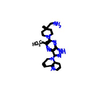 CC1(CN)CCN(c2nc3[nH]nc(N4CCCc5ncccc54)c3nc2C(=O)O)CC1